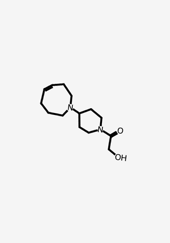 O=C(CO)N1CCC(N2CC/C=C\CCC2)CC1